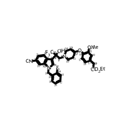 [C-]#[N+]c1ccc2c(C(O)(CN3CCC(Oc4ccc(CC(=O)OCC)cc4OC)CC3)C(F)(F)F)cn(Cc3ccccc3F)c2c1